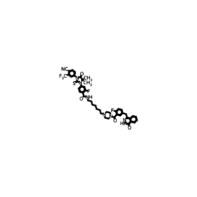 CC1(C)C(=O)N(c2ccc(C#N)c(C(F)(F)F)c2)C(=S)N1c1ccc(C(=O)NCCCCCCCN2CCN(C(=O)c3cc(Cc4n[nH]c(=O)c5ccccc45)ccc3F)CC2)c(F)c1